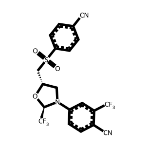 N#Cc1ccc(S(=O)(=O)C[C@@H]2CN(c3ccc(C#N)c(C(F)(F)F)c3)[C@@H](C(F)(F)F)O2)cc1